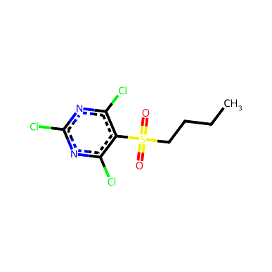 CCCCS(=O)(=O)c1c(Cl)nc(Cl)nc1Cl